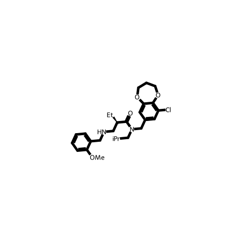 CC[C@H](CNCc1ccccc1OC)C(=O)N(Cc1cc(Cl)c2c(c1)OCCCO2)CC(C)C